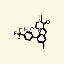 C[C@@H]1CNC(=O)c2cc3cc(F)cc(-c4ccc(C(F)(F)F)cc4)c3n21